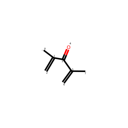 [CH2]C(=C)C(=O)C(=C)C